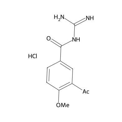 COc1ccc(C(=O)NC(=N)N)cc1C(C)=O.Cl